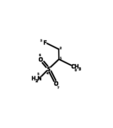 CC(CF)S(N)(=O)=O